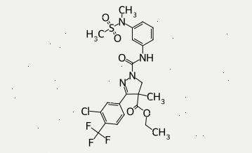 CCOC(=O)C1(C)CN(C(=O)Nc2cccc(N(C)S(C)(=O)=O)c2)N=C1c1ccc(C(F)(F)F)c(Cl)c1